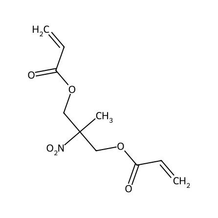 C=CC(=O)OCC(C)(COC(=O)C=C)[N+](=O)[O-]